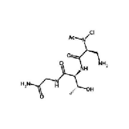 CC(=O)N(Cl)[C@@H](CN)C(=O)N[C@H](C(=O)NCC(N)=O)[C@@H](C)O